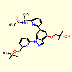 CCC[C@H](N[S@+]([O-])C(C)(C)C)c1cccc(-c2cc(OCC(C)(C)O)c3cnn(-c4cccc(CO[Si](C)(C)C(C)(C)C)n4)c3c2)n1